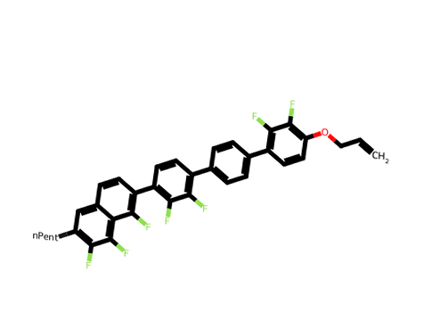 C=CCOc1ccc(-c2ccc(-c3ccc(-c4ccc5cc(CCCCC)c(F)c(F)c5c4F)c(F)c3F)cc2)c(F)c1F